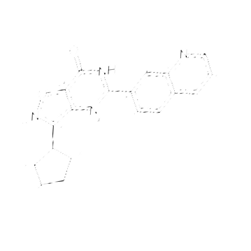 O=c1[nH]c(-c2ccc3cccnc3c2)nc2c(C3CCCC3)noc12